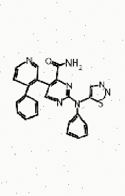 NC(=O)c1nc(N(c2ccccc2)c2cnns2)ncc1-c1cnccc1-c1ccccc1